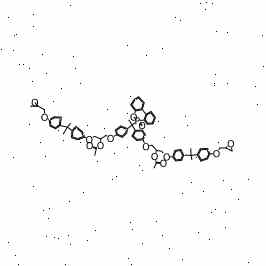 CC(=O)OC(COc1ccc(C(C)(C)c2ccc(OCC3CO3)cc2)cc1)COc1ccc(C(C)(c2ccc(OCC(COc3ccc(C(C)(C)c4ccc(OCC5CO5)cc4)cc3)OC(C)=O)cc2)P2(=O)Oc3ccccc3-c3ccccc32)cc1